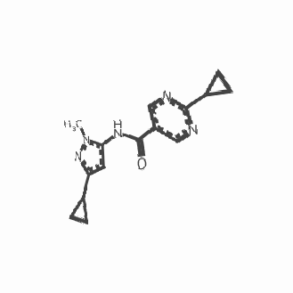 Cn1nc(C2CC2)cc1NC(=O)c1cnc(C2CC2)nc1